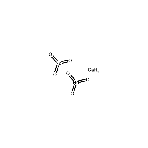 [GaH3].[O]=[Nd](=[O])=[O].[O]=[Nd](=[O])=[O]